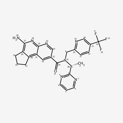 C[C@H](c1ncccn1)N(Cc1ccc(C(F)(F)F)cn1)C(=O)c1cnc2nc(N)c3c(c2c1)CCC3